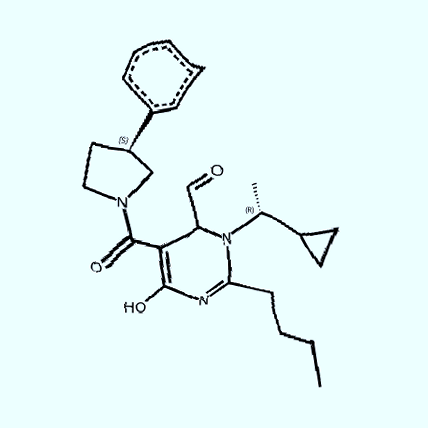 CCCCC1=NC(O)=C(C(=O)N2CC[C@@H](c3ccccc3)C2)C(C=O)N1[C@H](C)C1CC1